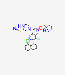 CC1(CON2C=C(N3CCN[C@@H](CC#N)C3)c3cnc(-c4cccc5cccc(Cl)c45)c(F)c3C2)CCCN1